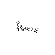 O=C(Nc1ccc(-c2cc3cc(-c4csc5ccccc45)ccc3[nH]2)cc1)[C@@H]1CCCN1C(O)Cc1ccccc1